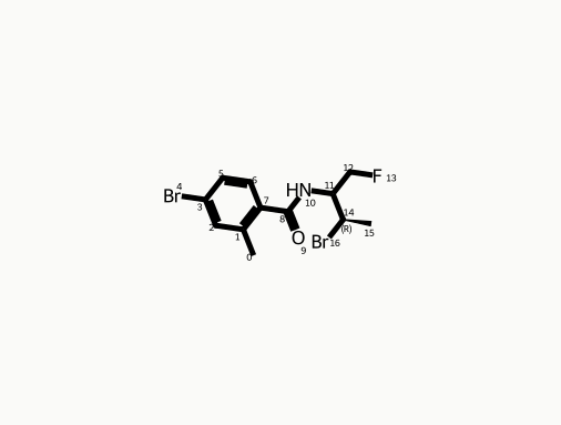 Cc1cc(Br)ccc1C(=O)NC(CF)[C@@H](C)Br